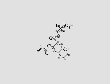 C=CC(=O)Oc1cc2ccccc2cc1C(=O)OCC(F)(F)S(=O)(=O)O